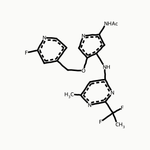 CC(=O)Nc1cc(Nc2cc(C)nc(C(C)(F)F)n2)c(OCc2ccnc(F)c2)cn1